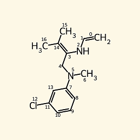 C=CNC(CN(C)c1cccc(Cl)c1)=C(C)C